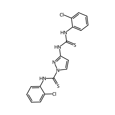 S=C(Nc1ccn(C(=S)Nc2ccccc2Cl)n1)Nc1ccccc1Cl